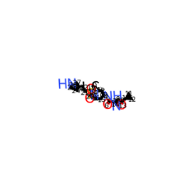 C[C@H]1C[C@@H](NC(=O)c2cc(C3CC3)on2)CCN1S(=O)(=O)CC[C@@H]1CCNC1